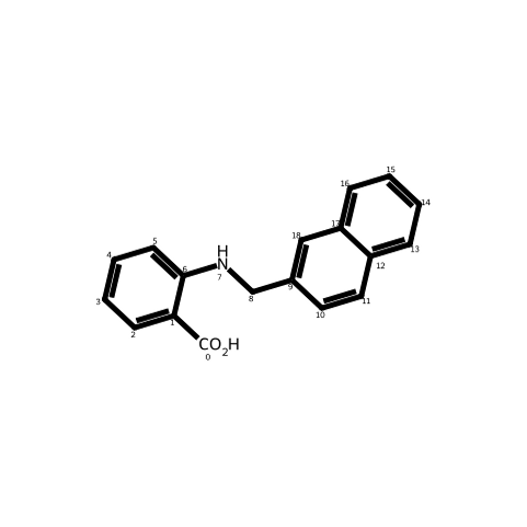 O=C(O)c1ccccc1NCc1ccc2ccccc2c1